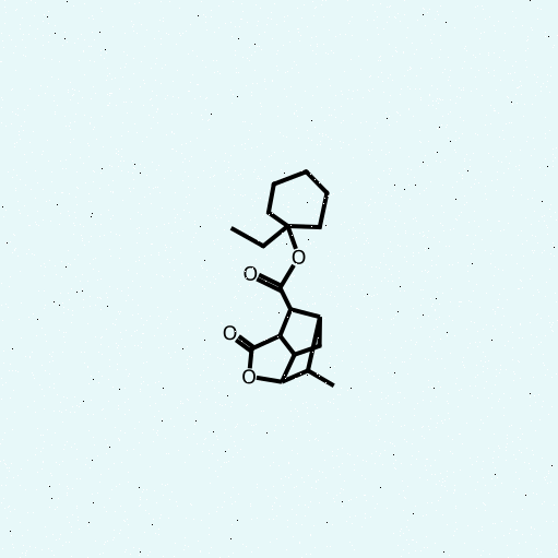 CCC1(OC(=O)C2C3CC4C(OC(=O)C42)C3C)CCCCC1